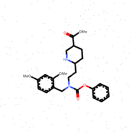 COC(=O)C1CCC(CCN(Cc2ccc(OC)cc2OC)C(=O)Oc2ccccc2)NC1